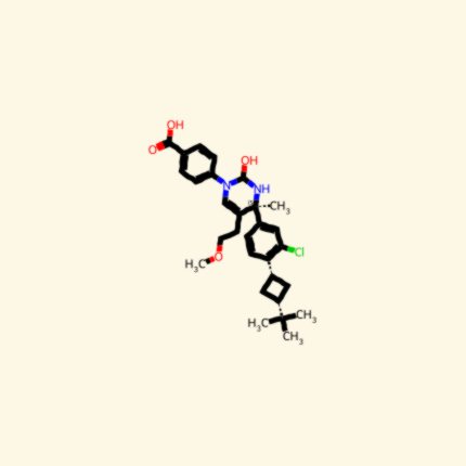 COCCC1=CN(c2ccc(C(=O)O)cc2)C(O)N[C@@]1(C)c1ccc([C@H]2C[C@@H](C(C)(C)C)C2)c(Cl)c1